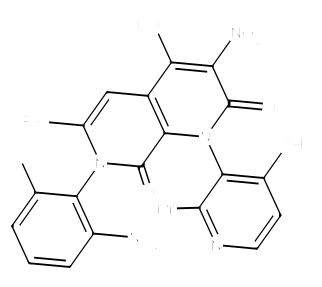 Cc1ccnc(C(C)C)c1-n1c(=O)c([N+](=O)[O-])c(O)c2cc(C(F)(F)F)n(-c3c(F)cccc3[N+](=O)[O-])c(=O)c21